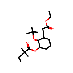 CCOC(=O)CC1CCCC(OC(=O)C(C)(C)CC)C1OC(C)(C)C